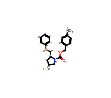 O=C(OCc1ccc([N+](=O)[O-])cc1)N1C[C@@H](S)C[C@H]1CSc1ccccc1